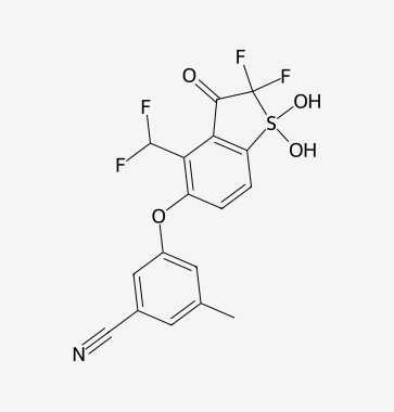 Cc1cc(C#N)cc(Oc2ccc3c(c2C(F)F)C(=O)C(F)(F)S3(O)O)c1